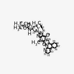 CC#CCn1c(N2CCCC(NC(=O)OC(C)(C)C)C2)nc2c1c(=O)n(Cc1nc3ncccc3c3ccccc13)c(=O)n2C